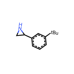 CC(C)(C)c1cccc(C2CN2)c1